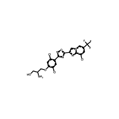 NC(CO)COc1cc(Cl)c(-c2noc(-c3cn4cc(C(F)(F)F)cc(Cl)c4n3)n2)cc1Cl